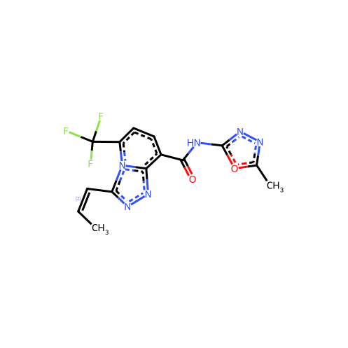 C/C=C\c1nnc2c(C(=O)Nc3nnc(C)o3)ccc(C(F)(F)F)n12